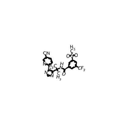 CC(C)(NC(=O)c1cc(C(F)(F)F)cc(S(C)(=O)=O)c1)c1ncnn1-c1ccc(C#N)cn1